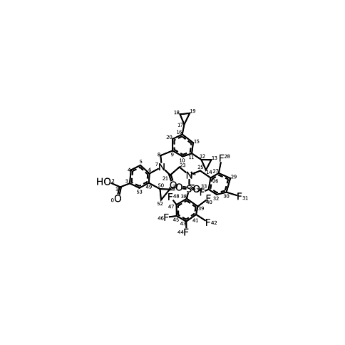 O=C(O)c1ccc(N(Cc2cc(C3CC3)cc(C3CC3)c2)C(=O)CN(Cc2c(F)cc(F)cc2F)S(=O)(=O)c2c(F)c(F)c(F)c(F)c2F)c(C2CC2)c1